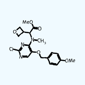 COC(=O)C(C1COC1)N(C)c1nc(Cl)ncc1OCc1ccc(OC)cc1